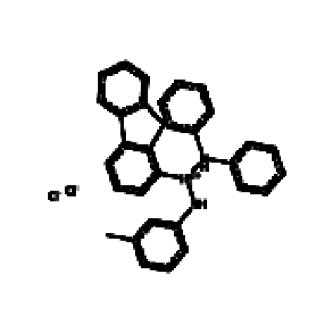 Cc1cccc([NH][Hf+2]([c]2cccc3c2Cc2ccccc2-3)[SiH](c2ccccc2)c2ccccc2)c1.[Cl-].[Cl-]